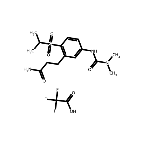 CC(C)S(=O)(=O)c1ccc(NC(=O)N(C)C)cc1CCC(N)=O.O=C(O)C(F)(F)F